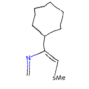 C=N/C(=C\SC)C1CCCCC1